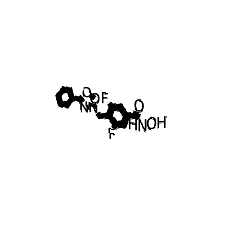 O=C(NO)c1cc(F)c(CN2N=C(c3ccccc3)OO2)c(F)c1